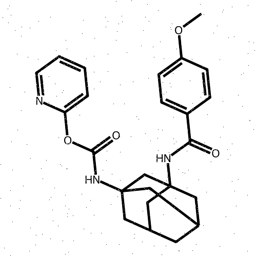 COc1ccc(C(=O)NC23CC4CC(CC(NC(=O)Oc5ccccn5)(C4)C2)C3)cc1